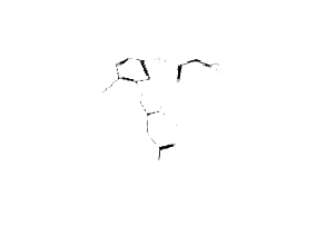 Cc1ccc(NC(=O)CBr)cc1CC(N)CC(=O)O